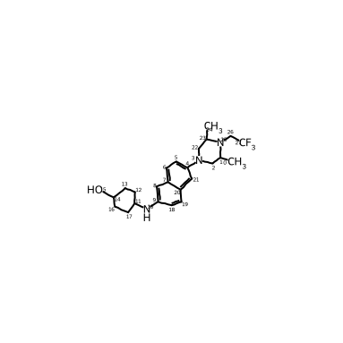 CC1CN(c2ccc3cc(NC4CCC(O)CC4)ccc3c2)CC(C)N1CC(F)(F)F